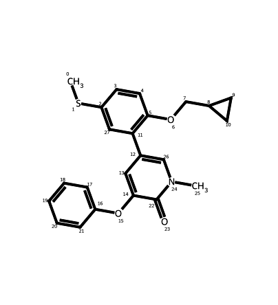 CSc1ccc(OCC2CC2)c(-c2cc(Oc3ccccc3)c(=O)n(C)c2)c1